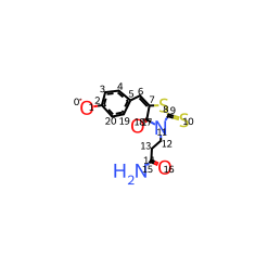 COc1ccc(C=C2SC(=S)N(CCC(N)=O)C2=O)cc1